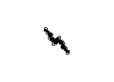 O=C1CCC2(CCC(=O)N2c2ccc(Oc3cccc(OCC4CO4)c3)cc2)N1c1ccc(Oc2cccc(OCC3CO3)c2)cc1